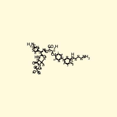 C[n+]1ccc(-c2ccc(OC[C@H](O/N=C(\C(=O)N[C@@H]3C(=O)N(OS(=O)(=O)[O-])C3(C)C)c3csc(N)n3)C(=O)O)cc2)cc1NCCCN